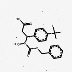 CN(C(=O)OCc1ccccc1)C(CC(=O)O)c1ccc(C(F)(F)F)cc1